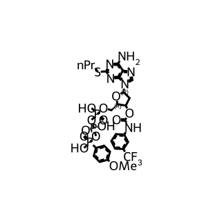 CCCSc1nc(N)c2ncn([C@H]3CC(OC(=O)Nc4cccc(C(F)(F)F)c4)[C@@H](COP(=O)(O)OP(=O)(O)OP(=O)(O)c4ccc(OC)cc4)O3)c2n1